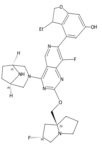 CCC1COc2cc(O)cc(-c3ncc4c(N5C[C@H]6CC[C@@H](C5)N6)nc(OC[C@@]56CCCN5C[C@H](F)C6)nc4c3F)c21